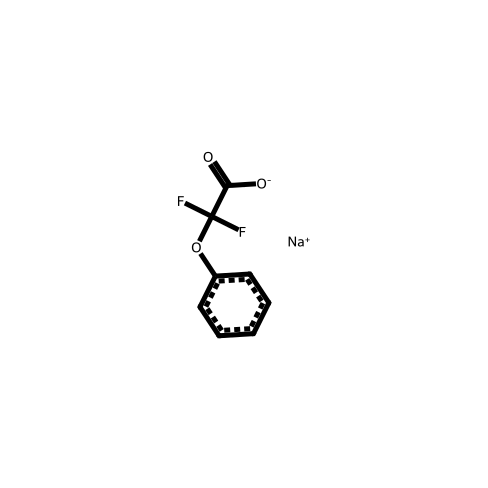 O=C([O-])C(F)(F)Oc1ccccc1.[Na+]